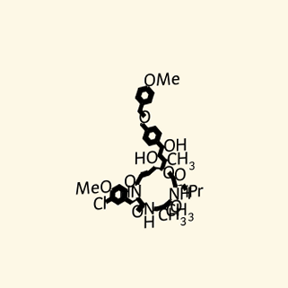 COc1ccc(COCc2ccc([C@@H](O)[C@H](O)[C@@H](C)[C@@H]3C/C=C/C(=O)N[C@H](Cc4ccc(OC)c(Cl)c4)C(=O)NCC(C)(C)C(=O)N[C@@H](CC(C)C)C(=O)O3)cc2)cc1